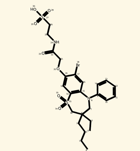 CCCCC1(CC)CN(c2ccccc2)c2cc(Br)c(OCC(=O)NCCS(=O)(=O)O)cc2S(=O)(=O)C1